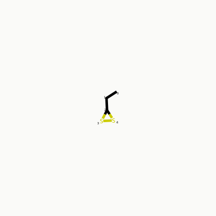 CCC1SS1